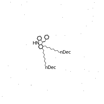 CCCCCCCCCCCCCCCCCCc1ccc2c(c1CCCCCCCCCCCCCCCCCC)C(=Cc1ccccc1)c1ccccc1N2